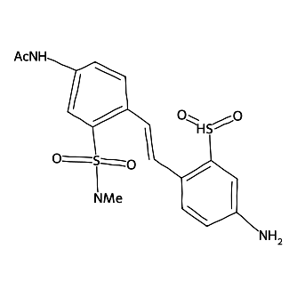 CNS(=O)(=O)c1cc(NC(C)=O)ccc1/C=C/c1ccc(N)cc1[SH](=O)=O